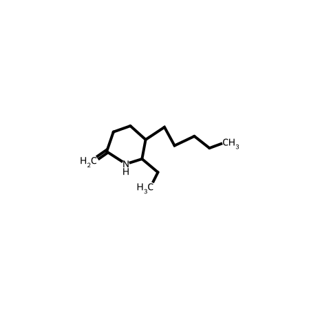 C=C1CCC(CCCCC)C(CC)N1